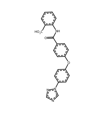 O=C(Nc1ccccc1C(=O)O)c1ccc(Oc2ccc(-n3cncn3)cc2)cc1